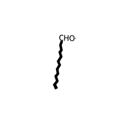 C=CCCCCCCCCCCC[C]=O